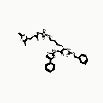 C=C1OC(C)=C(COC(=O)NS(=O)(=O)NCCCC[C@H](NC(=O)OCc2ccccc2)C(=O)Nc2nc(-c3ccccc3)cs2)O1